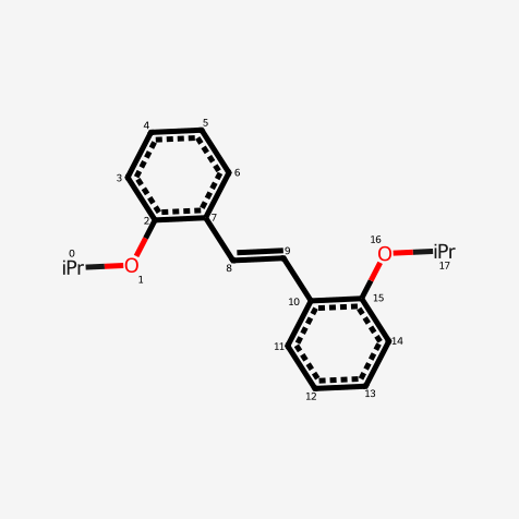 CC(C)Oc1ccccc1/C=C/c1ccccc1OC(C)C